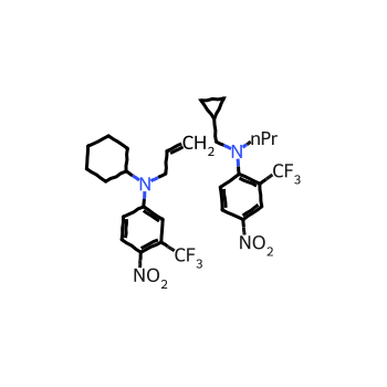 C=CCN(c1ccc([N+](=O)[O-])c(C(F)(F)F)c1)C1CCCCC1.CCCN(CC1CC1)c1ccc([N+](=O)[O-])cc1C(F)(F)F